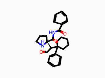 O=CC(C1(c2ccccc2)CCCCC1)[C@]1(C(=O)NC(=O)c2ccccc2)CCCN1